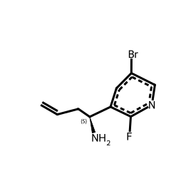 C=CC[C@H](N)c1cc(Br)cnc1F